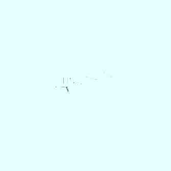 CCOCCCNC([O])=O